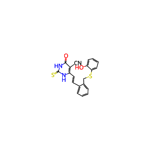 N#Cc1c(C=Cc2ccccc2CSc2ccccc2O)[nH]c(=S)[nH]c1=O